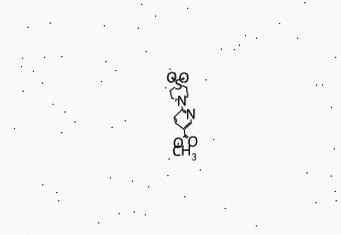 COC(=O)c1ccc(N2CCS(=O)(=O)CC2)nc1